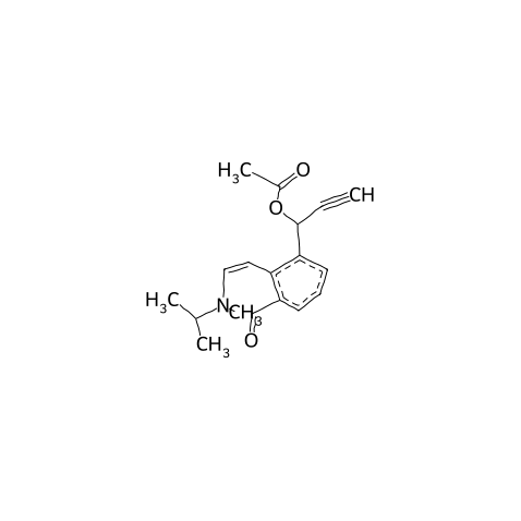 C#CC(OC(C)=O)c1cccc(C=O)c1/C=C\N(C)C(C)C